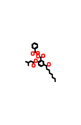 CCCCCCCC(=O)c1ccc(OC(=O)CC(C)C)c(C(=O)OOC(=O)c2ccccc2)c1